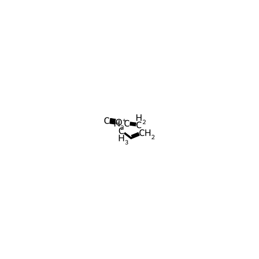 C=C.C=CC.[C-]#[O+]